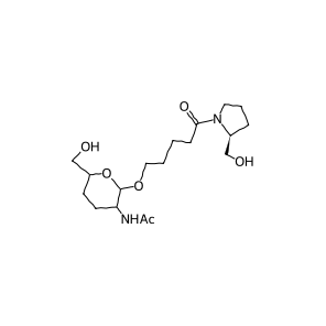 CC(=O)NC1CCC(CO)OC1OCCCCC(=O)N1CCC[C@H]1CO